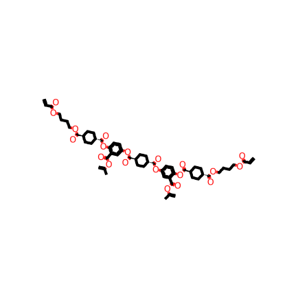 C=CC(=O)OCCCCOC(=O)[C@H]1CC[C@H](C(=O)Oc2ccc(OC(=O)[C@H]3CC[C@H](C(=O)Oc4ccc(OC(=O)[C@H]5CC[C@H](C(=O)OCCCCOC(=O)C=C)CC5)c(C(=O)OC(=C)C)c4)CC3)cc2C(=O)OC(=C)C)CC1